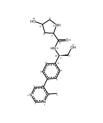 Cc1ncncc1-c1ccc([C@H](CO)NC(=O)C2CC(O)CN2)cc1